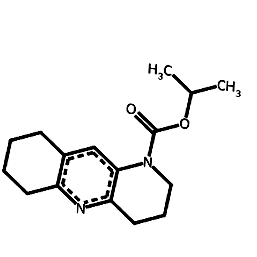 CC(C)OC(=O)N1CCCc2nc3c(cc21)CCCC3